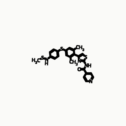 CSNc1ccc(Sc2cc(C)c(-c3csc(NC(=O)c4ccncc4)n3)c(C)c2)cc1